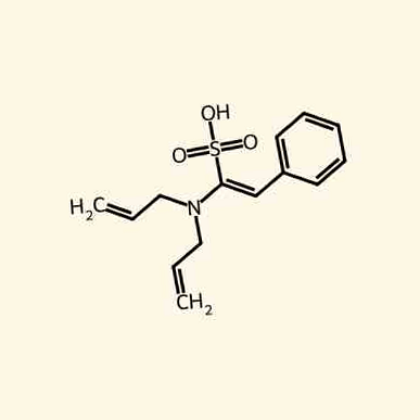 C=CCN(CC=C)C(=Cc1ccccc1)S(=O)(=O)O